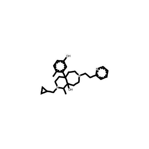 Cc1ccc(O)cc1C12CCN(CCc3ccccn3)CCC1(O)C(C)N(CC1CC1)CC2